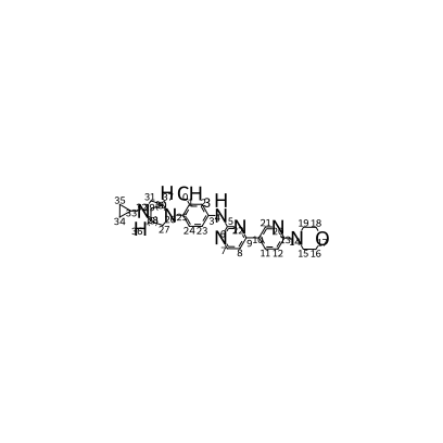 Cc1cc(Nc2nccc(-c3ccc(N4CCOCC4)nc3)n2)ccc1N1C[C@@H]2C[C@H]1CN2C1CC1